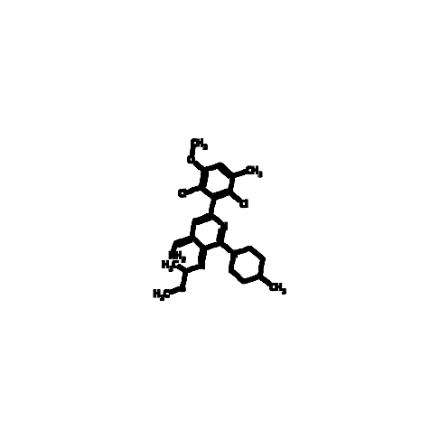 COc1cc(C)c(Cl)c(C2=CC(=C/N)/C(=N\C(C)SC)C(N3CCC(C)CC3)=N2)c1Cl